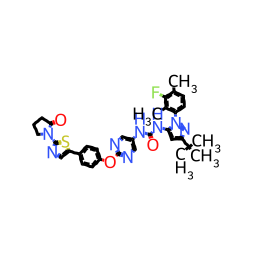 Cc1ccc(-n2nc(C(C)(C)C)cc2NC(=O)Nc2cnc(Oc3ccc(-c4cnc(N5CCCC5=O)s4)cc3)nc2)c(C)c1F